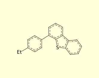 CCc1ccc(-c2cccc3c2sc2ccccc23)cc1